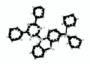 c1ccc(-c2nc(-c3ccccc3)nc(N3c4ccccc4Sc4cc(N(c5ccccc5)c5ccccc5)ccc43)n2)cc1